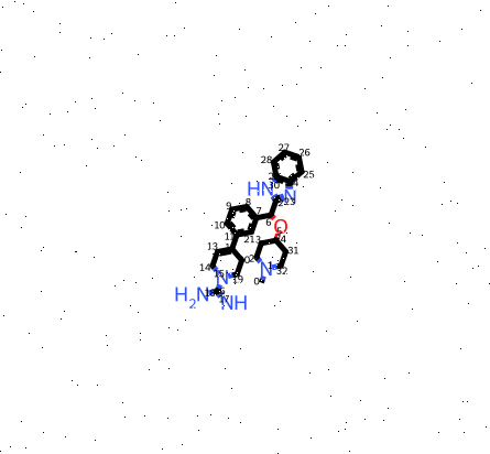 CN1CCC(OC(c2cccc(C3=CCN(C(=N)N)CC3)c2)c2nc3ccccc3[nH]2)CC1